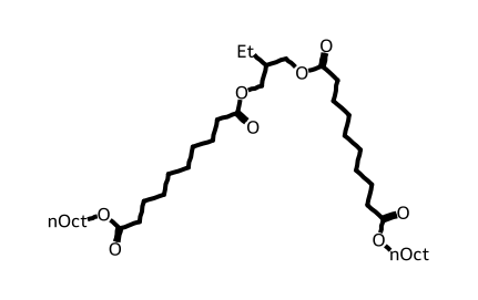 CCCCCCCCOC(=O)CCCCCCCCC(=O)OCC(CC)COC(=O)CCCCCCCCC(=O)OCCCCCCCC